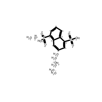 O.O.O.O.O.O.O.O.O=S(=O)(O)c1cccc2c(S(=O)(=O)O)cccc12